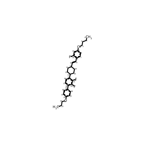 CCCCOc1ccc(/C=C/C2CCC(c3ccc(-c4ccc(OCCC)cc4)c(F)c3F)CC2)c(F)c1